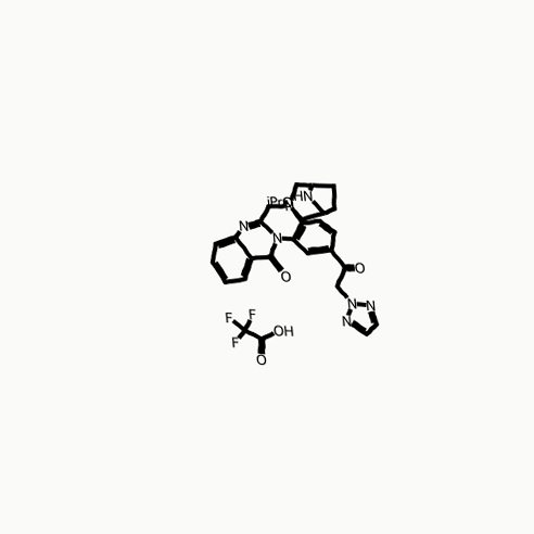 CC(C)Oc1ccc(C(=O)Cn2nccn2)cc1-n1c(CN2CC3CCC(C2)N3)nc2ccccc2c1=O.O=C(O)C(F)(F)F